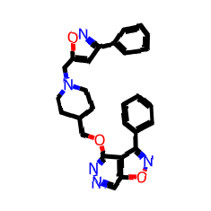 c1ccc(-c2cc(CN3CCC(COc4nncc5onc(-c6ccccc6)c45)CC3)on2)cc1